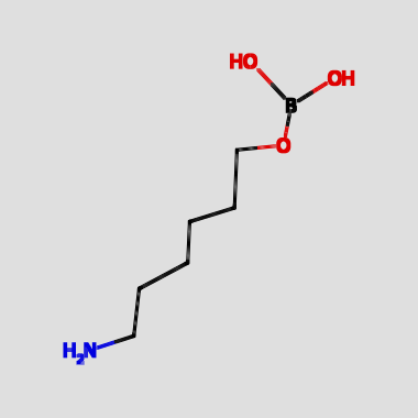 NCCCCCCOB(O)O